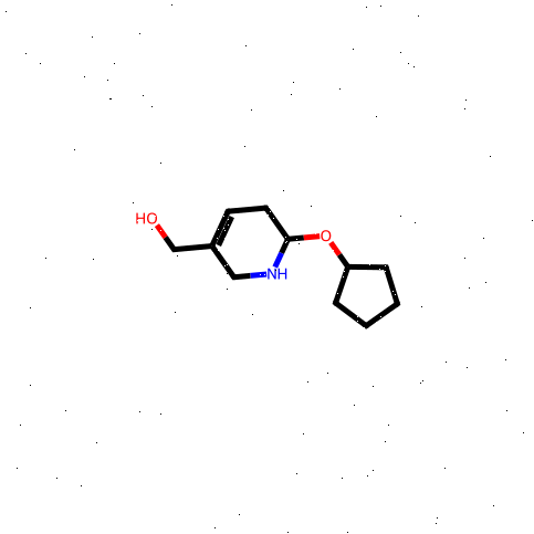 OCC1=CCC(OC2CCCC2)NC1